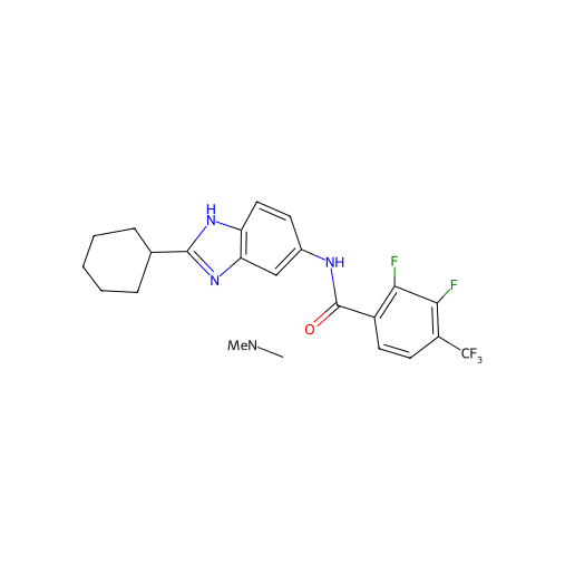 CNC.O=C(Nc1ccc2[nH]c(C3CCCCC3)nc2c1)c1ccc(C(F)(F)F)c(F)c1F